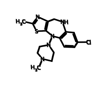 Cc1nc2c(s1)N(N1CCN(C)CC1)c1ccc(Cl)cc1NC2